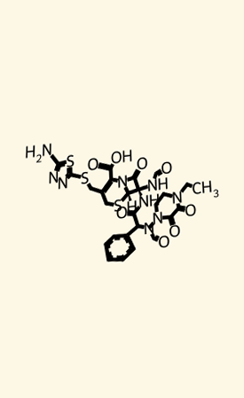 CCN1CCN(N(C=O)C(C(=O)N[C@]2(NC=O)C(=O)N3C(C(=O)O)=C(CSc4nnc(N)s4)CS[C@H]32)c2ccccc2)C(=O)C1=O